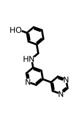 Oc1cccc(CNc2cncc(-c3cncnc3)c2)c1